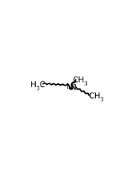 CCCCCCCCCCCC[n+]1ccn(CCCCCCCCC)c1CCC